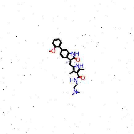 COc1ccccc1-c1ccc2c(c1)NC(=O)/C2=C\c1[nH]c(C)c(C(=O)NCCN(C)C)c1C